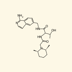 CC(O)C(NC(=O)CN1[C@H](C)CCC[C@@H]1C)C(=O)NCc1ccc2c(N)nccc2c1